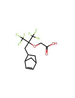 O=C(O)COC(CC1CC2C=CC1C2)(C(F)(F)F)C(F)(F)F